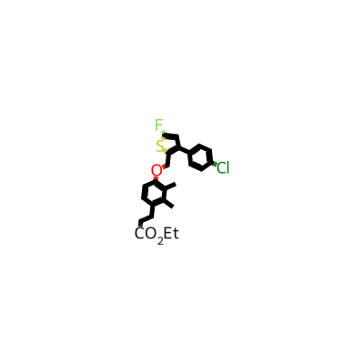 CCOC(=O)CCc1ccc(OCc2sc(F)cc2-c2ccc(Cl)cc2)c(C)c1C